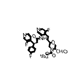 CC(C)(C)OC(=O)N1CC(CCc2c(F)cncc2NC(=O)C[C@@H](c2ccc(F)cc2)c2ccncc2F)OCC1C=O